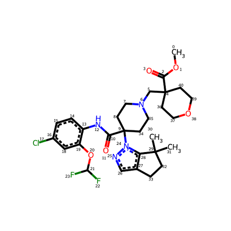 COC(=O)C1(CN2CCC(C(=O)Nc3ccc(Cl)cc3OC(F)F)(n3ncc4c3C(C)(C)CC4)CC2)CCOCC1